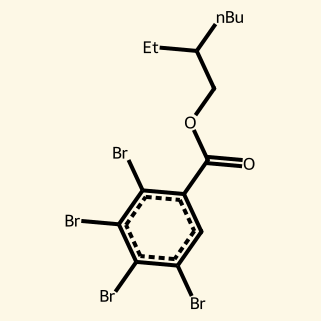 CCCCC(CC)COC(=O)c1cc(Br)c(Br)c(Br)c1Br